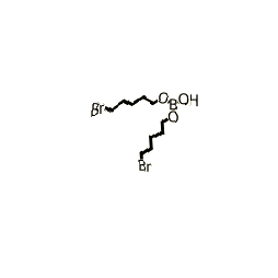 OB(OCCCCCBr)OCCCCCBr